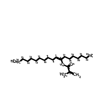 C=C(C)C(=O)OC(=CCCCCCCCCCCCCCCCCCC)CCCCCCCCCCCCCCCC